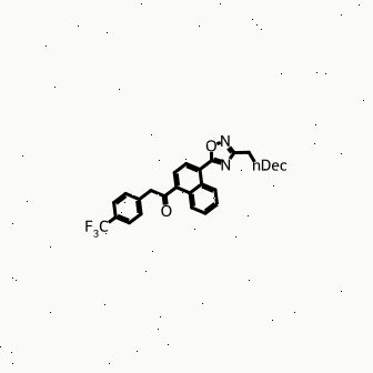 CCCCCCCCCCCc1noc(-c2ccc(C(=O)Cc3ccc(C(F)(F)F)cc3)c3ccccc23)n1